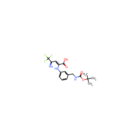 CC(C)(C)OC(=O)NCc1cccc(N/C(=C\C(=N)C(F)(F)F)C(=O)O)c1